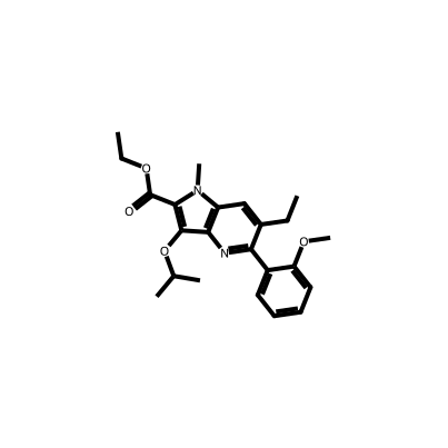 CCOC(=O)c1c(OC(C)C)c2nc(-c3ccccc3OC)c(CC)cc2n1C